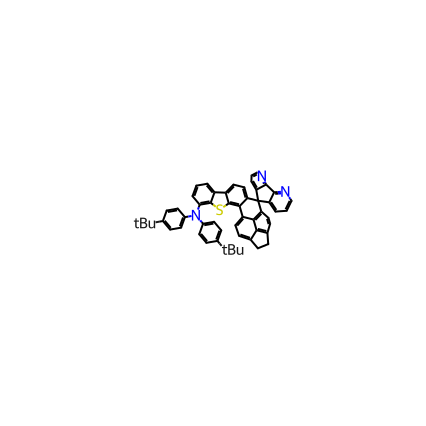 CC(C)(C)c1ccc(N(c2ccc(C(C)(C)C)cc2)c2cccc3c2sc2c4c(ccc23)C2(c3cccnc3-c3ncccc32)c2ccc3c5c(ccc-4c25)CC3)cc1